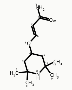 CC1(C)CC(OC=CC(N)=O)CC(C)(C)N1